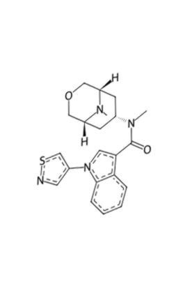 CN(C(=O)c1cn(-c2cnsc2)c2ccccc12)[C@H]1C[C@H]2COC[C@@H](C1)N2C